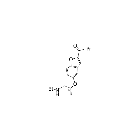 CCNC[C@H](C)Oc1ccc2oc(C(=O)C(C)C)cc2c1